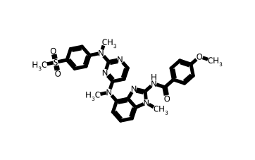 COc1ccc(C(=O)Nc2nc3c(N(C)c4ccnc(N(C)c5ccc(S(C)(=O)=O)cc5)n4)cccc3n2C)cc1